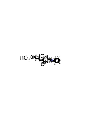 O=C(O)CCCCc1c(O)nc(/C=C/c2ccccc2)[nH]c1=O